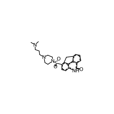 CN(C)CCCN1CCN(S(=O)(=O)c2ccc3[nH]c(=O)c4cccc5c4c3c2C5)CC1